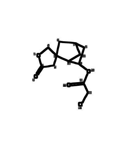 O=C1CC2(CO1)CC1CC(OC(=O)CCl)C2C1